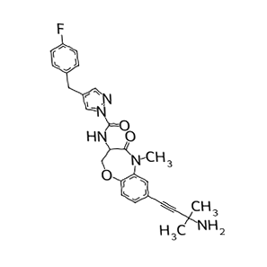 CN1C(=O)C(NC(=O)n2cc(Cc3ccc(F)cc3)cn2)COc2ccc(C#CC(C)(C)N)cc21